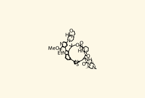 CCn1c(-c2cc(N3CCN4CCOC[C@@H]4C3)cnc2[C@H](C)OC)c2c3cc(ccc31)-c1csc(n1)C[C@H](NC(=O)N1[C@@H](C)CN(C)C[C@@H]1C)C(=O)N1CCC[C@H](N1)C(=O)OCC(C)(C)C2